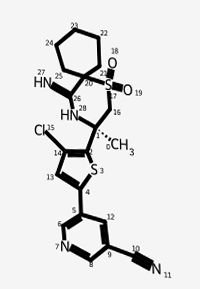 C[C@@]1(c2sc(-c3cncc(C#N)c3)cc2Cl)CS(=O)(=O)C2(CCCCC2)C(=N)N1